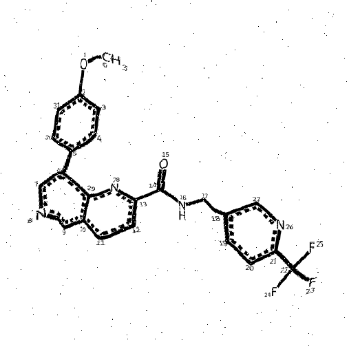 COc1ccc(-c2cncc3ccc(C(=O)NCc4ccc(C(F)(F)F)nc4)nc23)cc1